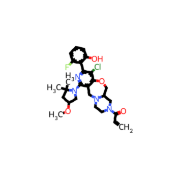 C=CC(=O)N1CCN2Cc3c(N4CC(OC)CC4(C)C)nc(-c4c(O)cccc4F)c(Cl)c3OCC2C1